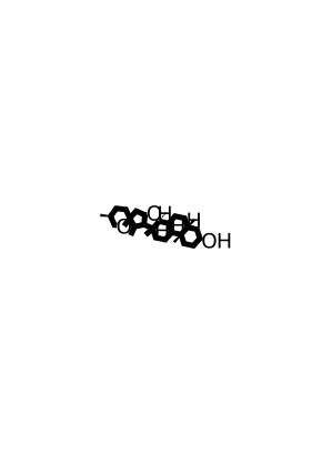 CC1C2C(CC13CC[C@H](C)CO3)O[C@H]1[C@@H]3CC[C@@H]4C[C@@H](O)CC[C@]4(C)[C@H]3CCC21C